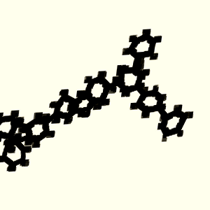 c1ccc(-c2ccc(-c3nc(-c4ccccc4)nc(-c4ccc5c(c4)oc4cc(-c6ccc7c(c6)-c6ccccc6C76CCCCC6)ccc45)n3)cc2)cc1